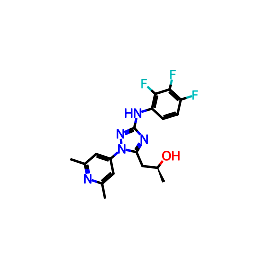 Cc1cc(-n2nc(Nc3ccc(F)c(F)c3F)nc2C[C@H](C)O)cc(C)n1